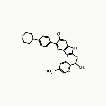 CC(Oc1nc2nc(-c3ccc(N4CCOCC4)cc3)c(Cl)cc2[nH]1)c1ccc(C(=O)O)cn1